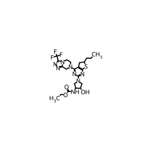 CCCC1Cc2c(nc(N3CC(O)C(NC(=O)OCC)C3)nc2N2CCn3c(nnc3C(F)(F)F)C2)S1